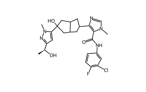 C[C@H](O)c1cc(C2(O)CC3CC(c4ncn(C)c4C(=O)Nc4ccc(F)c(Cl)c4)CC3C2)n(C)n1